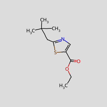 CCOC(=O)c1cnc(CC(C)(C)C)s1